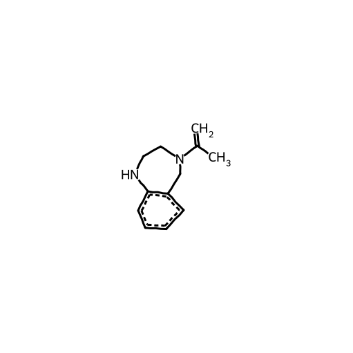 C=C(C)N1CCNc2ccccc2C1